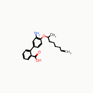 C=CCCCCC(C)Oc1ccc(-c2ccccc2C(=O)O)cc1N